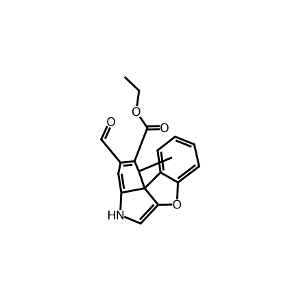 CCOC(=O)C1=C(C=O)C=C2NC=C3Oc4ccccc4C23C1C